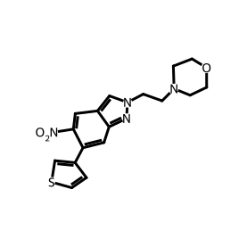 O=[N+]([O-])c1cc2cn(CCN3CCOCC3)nc2cc1-c1ccsc1